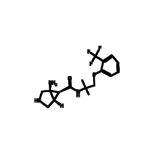 CC(C)(CSc1ccccc1C(F)(F)F)NC(=O)[C@H]1[C@@H]2CNC[C@@]21N